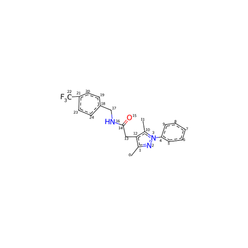 Cc1nn(-c2ccccc2)c(C)c1CC(=O)NCc1ccc(C(F)(F)F)cc1